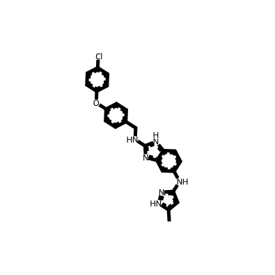 Cc1cc(Nc2ccc3[nH]c(NCc4ccc(Oc5ccc(Cl)cc5)cc4)nc3c2)n[nH]1